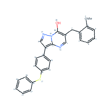 COc1ccccc1Cc1cnc2c(-c3ccc(Sc4ccccc4)cc3)cnn2c1O